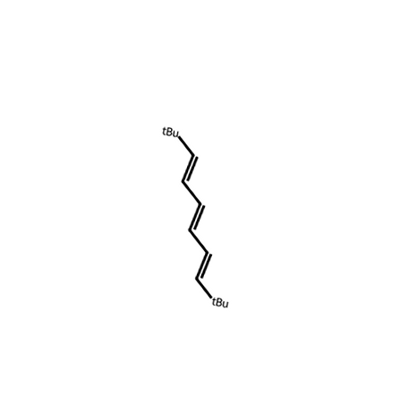 CC(C)(C)/C=C/C=C/C=C/C(C)(C)C